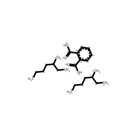 CCCCC(C)CC.CCCCC(C)CC.O=C(O)c1ccccc1C(=O)O